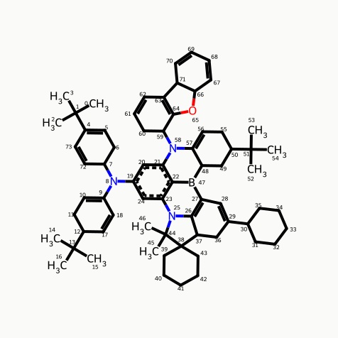 CC(C)(C)C1=CCC(N(C2=CCC(C(C)(C)C)C=C2)c2cc3c4c(c2)N2C5=C(C=C(C6CCCCC6)CC5C5(CCCCC5)C2(C)C)B4C2CC(C(C)(C)C)CC=C2N3C2CC=CC3=C2OC2C=CC=CC32)C=C1